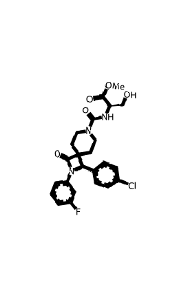 COC(=O)[C@@H](CO)NC(=O)N1CCC2(CC1)C(=O)N(c1cccc(F)c1)C2c1ccc(Cl)cc1